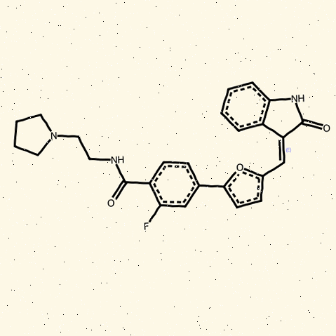 O=C1Nc2ccccc2/C1=C\c1ccc(-c2ccc(C(=O)NCCN3CCCC3)c(F)c2)o1